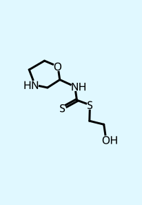 OCCSC(=S)NC1CNCCO1